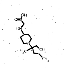 CCCC(C)(CC)N1CCC(NCC(=O)O)CC1